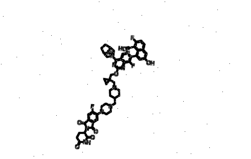 C#Cc1c(F)ccc2cc(O)cc(-c3ncc4c(N5CC6CCC(C5)N6)nc(OCC5(CN6CCC(CN7CCN(c8cc9c(cc8F)C(=O)N(C8CCC(=O)NC8=O)C9=O)CC7)CC6)CC5)nc4c3F)c12